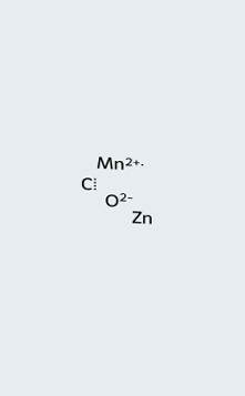 [C].[Mn+2].[O-2].[Zn]